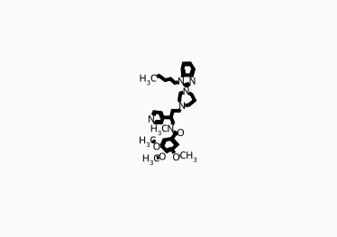 CCCCCn1c(N2CCCN(CCC(CN(C)C(=O)c3cc(OC)c(OC)c(OC)c3)c3ccncc3)CC2)nc2ccccc21